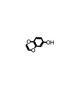 Oc1[c]c2c(cc1)OC=CO2